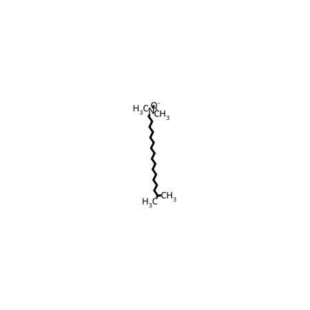 CC(C)CCCCCCCCCCCCCCC[N+](C)(C)[O-]